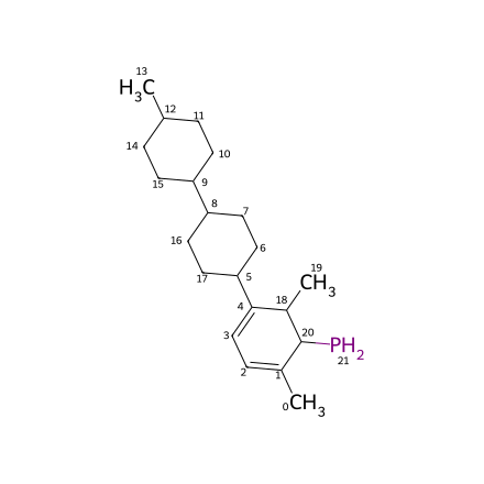 CC1=CC=C(C2CCC(C3CCC(C)CC3)CC2)C(C)C1P